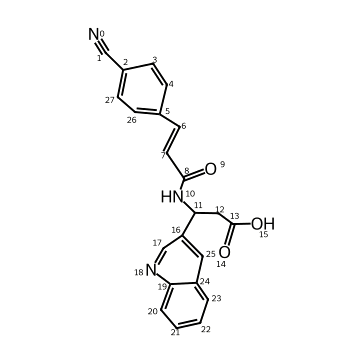 N#Cc1ccc(/C=C/C(=O)NC(CC(=O)O)c2cnc3ccccc3c2)cc1